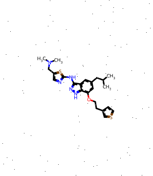 CC(C)Cc1cc(OCCc2ccsc2)c2[nH]nc(Nc3ncc(CN(C)C)s3)c2c1